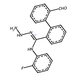 NN/N=C(\Nc1ccccc1F)c1ccccc1-c1ccccc1C=O